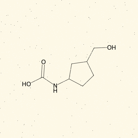 O=C(O)NC1CCC(CO)C1